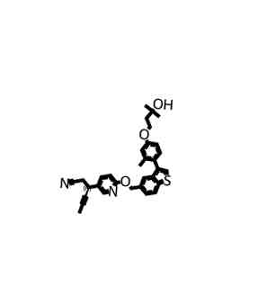 CC#C[C@@H](CC#N)c1ccc(OCc2ccc3scc(-c4ccc(OCCC(C)(C)O)cc4C)c3c2)nc1